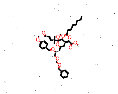 CCCC=CC=CC(=O)OC1C(=CC(=O)OC)CC(C[C@@H](OCc2ccc(OC)cc2)[C@@H](C)OCOCc2ccccc2)OC1(OC)C(C)(C)C=CC=O